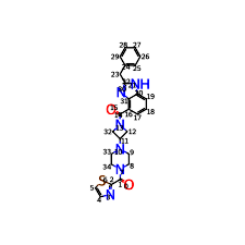 O=C(c1nccs1)N1CCN(C2CN(C(=O)c3cccc4[nH]c(Cc5ccccc5)nc34)C2)CC1